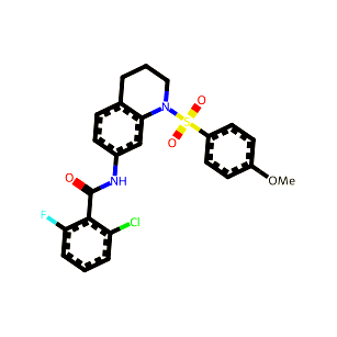 COc1ccc(S(=O)(=O)N2CCCc3ccc(NC(=O)c4c(F)cccc4Cl)cc32)cc1